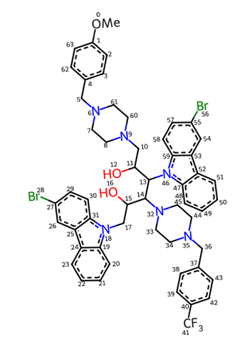 COc1ccc(CN2CCN(CC(O)C(C(C(O)Cn3c4ccccc4c4cc(Br)ccc43)N3CCN(Cc4ccc(C(F)(F)F)cc4)CC3)n3c4ccccc4c4cc(Br)ccc43)CC2)cc1